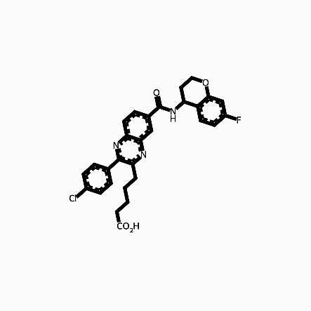 O=C(O)CCCCc1nc2cc(C(=O)NC3CCOc4cc(F)ccc43)ccc2nc1-c1ccc(Cl)cc1